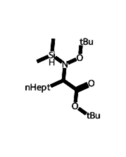 CCCCCCCC(C(=O)OC(C)(C)C)N(OC(C)(C)C)[SiH](C)C